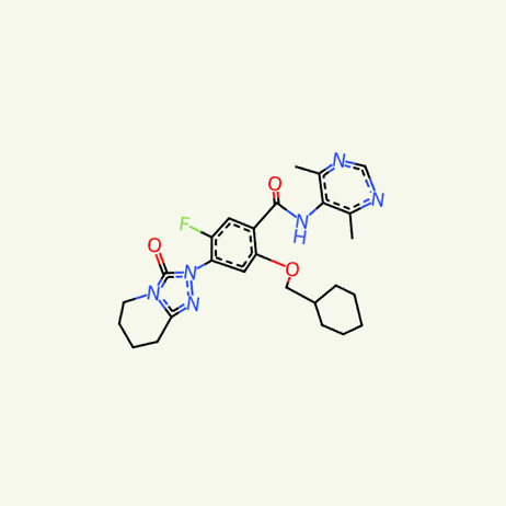 Cc1ncnc(C)c1NC(=O)c1cc(F)c(-n2nc3n(c2=O)CCCC3)cc1OCC1CCCCC1